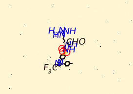 Cc1ccc(-c2cc(C(F)(F)F)nn2-c2ccc(S(=O)(=O)NC(=O)[C@H](CCCCNC(=N)N)NC=O)cc2)cc1